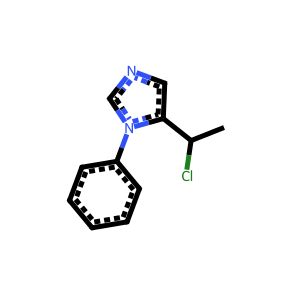 CC(Cl)c1cncn1-c1ccccc1